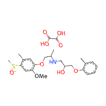 COc1cc([S+](C)[O-])c(C)cc1OCC(C)NCC(O)COc1ccccc1C.O=C(O)C(=O)O